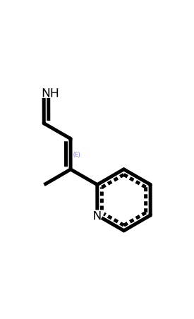 C/C(=C\C=N)c1ccccn1